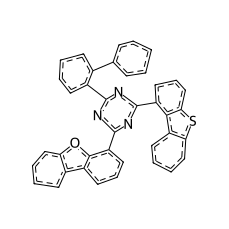 c1ccc(-c2ccccc2-c2nc(-c3cccc4c3oc3ccccc34)nc(-c3cccc4sc5ccccc5c34)n2)cc1